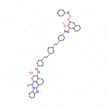 COc1cc2c(=O)n3c4ccccc4nc3c3cccc(c1N=Nc1ccc(C=Cc4ccc(C=Cc5ccc(N=Nc6c(OC)c(CON(C)c7ccccc7)cc7ccccc67)cc5)cc4)cc1)c23